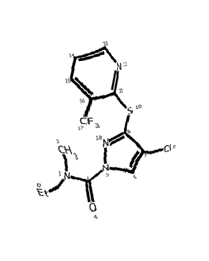 CCN(C)C(=O)n1cc(Cl)c(Sc2ncccc2C(F)(F)F)n1